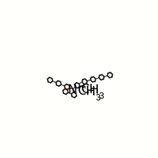 CC1(C)c2cc(-c3ccc(-c4ccc(-c5ccccc5)cc4)cc3)ccc2-c2ccc(N(c3ccc(-c4ccc(-c5ccccc5)cc4)cc3)c3ccccc3-c3ccccc3)cc21